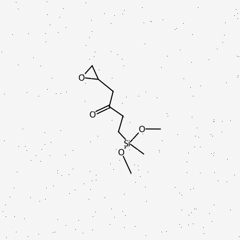 CO[Si](C)(CCC(=O)CC1CO1)OC